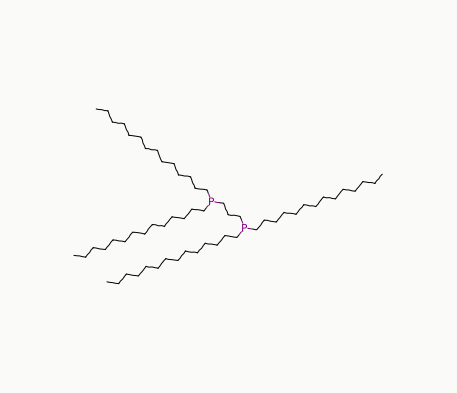 CCCCCCCCCCCCCCP(CCCCCCCCCCCCCC)CCCP(CCCCCCCCCCCCCC)CCCCCCCCCCCCCC